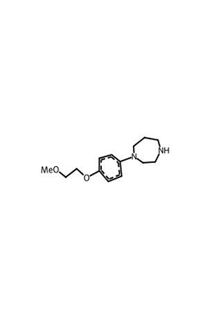 COCCOc1ccc(N2CCCNCC2)cc1